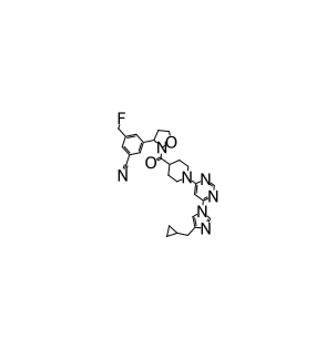 N#Cc1cc(CF)cc(C2CCON2C(=O)C2CCN(c3cc(-n4cnc(CC5CC5)c4)ncn3)CC2)c1